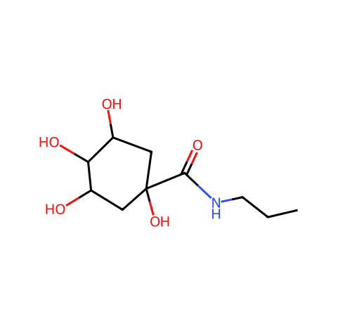 CCCNC(=O)C1(O)CC(O)C(O)C(O)C1